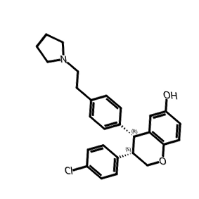 Oc1ccc2c(c1)[C@@H](c1ccc(CCN3CCCC3)cc1)[C@@H](c1ccc(Cl)cc1)CO2